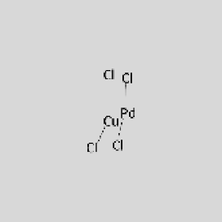 [Cl][Cu][Cl].[Cl][Pd][Cl]